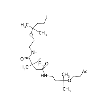 CC(=O)CCOC(C)(C)CCNC(=O)CC(C)(C)C(=O)NCCOC(C)(C)CCI